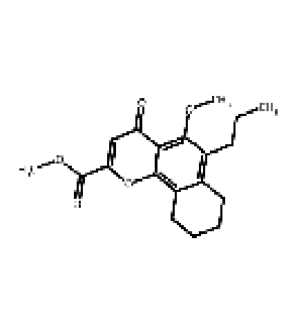 CCCc1c2c(c3oc(C(=O)OC)cc(=O)c3c1OC)CCCC2